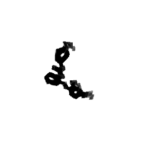 CN1CCC(OC(=O)Oc2ccccc2/N=N/c2ccc(N)nc2N)C1